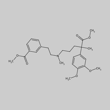 COC(=O)c1cccc(CCN(C)CCCC(C)(C(=O)OC)c2ccc(OC)c(OC)c2)c1